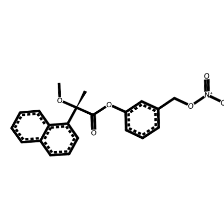 CO[C@](C)(C(=O)Oc1cccc(CO[N+](=O)[O-])c1)c1cccc2ccccc12